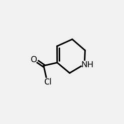 O=C(Cl)C1=CCCNC1